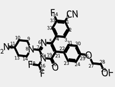 N#Cc1ccc(-c2nc(N3CCC(N)CC3)n(C(F)F)c(=O)c2-c2ccc(OCCO)cc2)cc1F